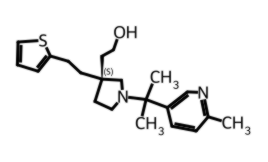 Cc1ccc(C(C)(C)N2CC[C@](CCO)(CCc3cccs3)C2)cn1